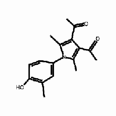 CC(=O)c1c(C(C)=O)c(C)n(-c2ccc(O)c(C)c2)c1C